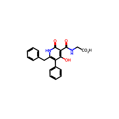 O=C(O)CNC(=O)c1c(O)c(-c2ccccc2)c(Cc2ccccc2)[nH]c1=O